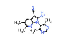 Cc1cc2c(C#N)c(N)n(-c3c(C)ncnc3C)c2nc1C